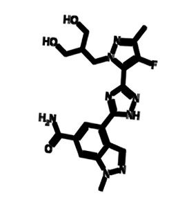 Cc1nn(CC(CO)CO)c(-c2n[nH]c(-c3cc(C(N)=O)cc4c3cnn4C)n2)c1F